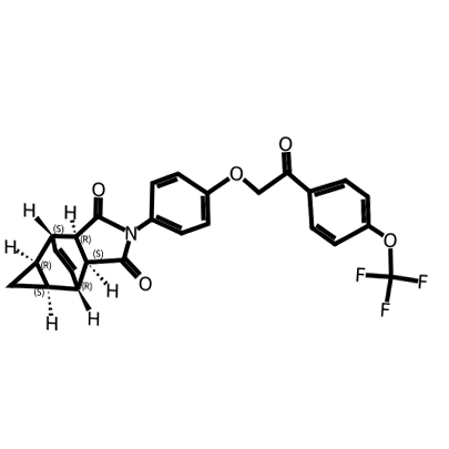 O=C(COc1ccc(N2C(=O)[C@@H]3[C@@H]4C=C[C@@H]([C@H]5C[C@@H]45)[C@@H]3C2=O)cc1)c1ccc(OC(F)(F)F)cc1